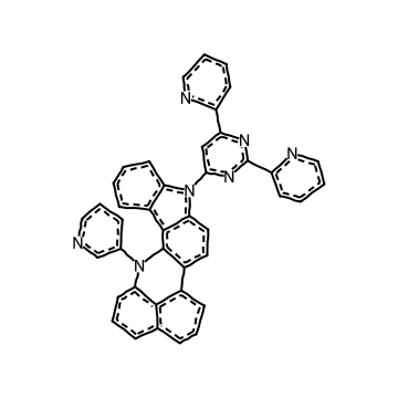 c1ccc(-c2cc(-n3c4ccccc4c4c5c(ccc43)-c3cccc4cccc(c34)N5c3cccnc3)nc(-c3ccccn3)n2)nc1